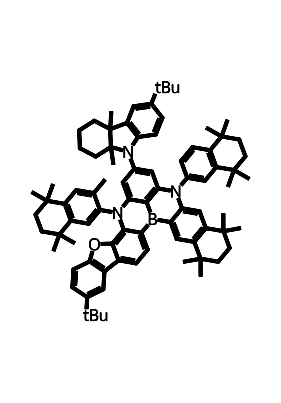 Cc1cc2c(cc1N1c3cc(N4c5ccc(C(C)(C)C)cc5C5(C)CCCCC45C)cc4c3B(c3cc5c(cc3N4c3ccc4c(c3)C(C)(C)CCC4(C)C)C(C)(C)CCC5(C)C)c3ccc4c(oc5ccc(C(C)(C)C)cc54)c31)C(C)(C)CCC2(C)C